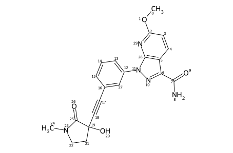 COc1ccc2c(C(N)=O)nn(-c3cccc(C#CC4(O)CCN(C)C4=O)c3)c2n1